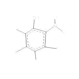 Cc1c(N)c(N(Cl)Cl)c(C)c(Cl)c1Cl